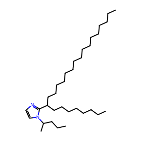 CCCCCCCCCCCCCCCCC(CCCCCCCC)c1nccn1C(C)CCC